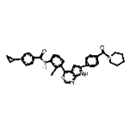 Cc1c(NC(=O)c2ccc(C3CC3)cc2)cccc1-c1ncnc2[nH]c(-c3ccc(C(=O)N4CCCCC4)cc3)cc12